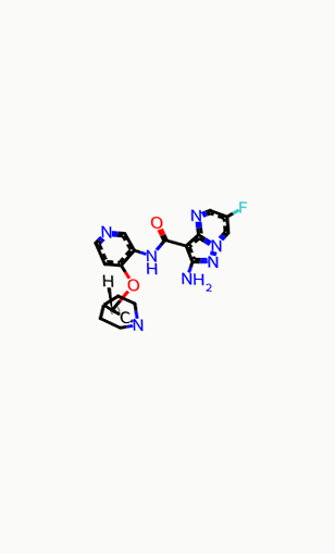 Nc1nn2cc(F)cnc2c1C(=O)Nc1cnccc1O[C@@H]1CN2CCC1CC2